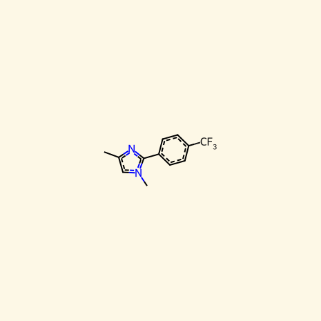 Cc1cn(C)c(-c2ccc(C(F)(F)F)cc2)n1